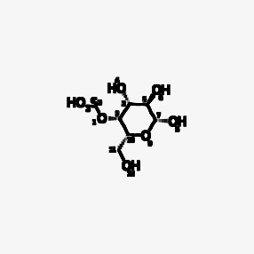 O=S(=O)(O)O[C@@H]1[C@H](O)[C@@H](O)[C@H](O)O[C@@H]1CO